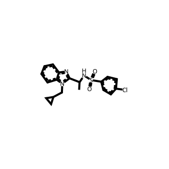 CC(NS(=O)(=O)c1ccc(Cl)cc1)c1nc2ccccc2n1CC1CC1